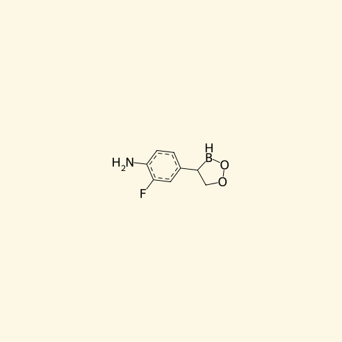 Nc1ccc(C2BOOC2)cc1F